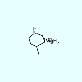 CC1CCNCC1.Cl.[MgH2]